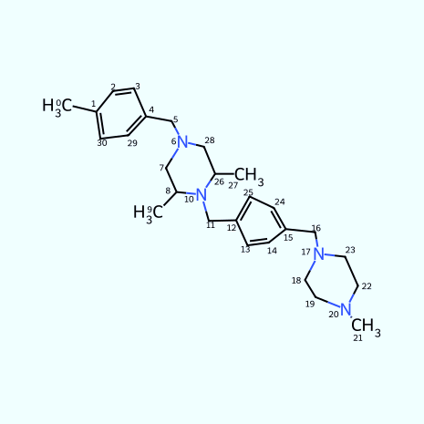 Cc1ccc(CN2CC(C)N(Cc3ccc(CN4CCN(C)CC4)cc3)C(C)C2)cc1